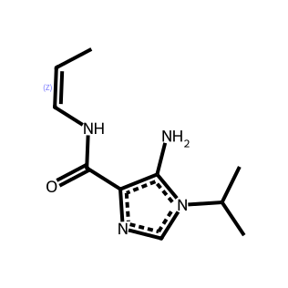 C/C=C\NC(=O)c1ncn(C(C)C)c1N